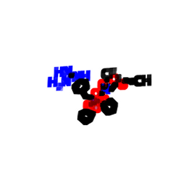 C#CCOCCN(OC(=O)C(F)(F)F)C(=O)OC(Cc1ccc(NC(=N)N)cc1)P(=O)(Oc1ccccc1)Oc1ccccc1